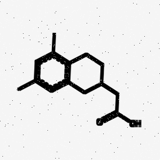 Cc1cc(C)c2c(c1)CC(CC(=O)O)CC2